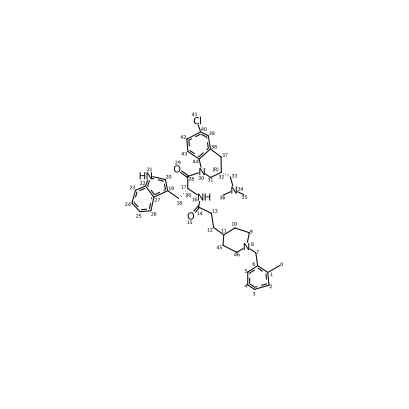 Cc1ccccc1CN1CCC(CCC(=O)N[C@H](Cc2c[nH]c3ccccc23)C(=O)N2C[C@@H](CN(C)C)Cc3cc(Cl)ccc32)CC1